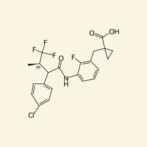 C[C@H](C(C(=O)Nc1cccc(CC2(C(=O)O)CC2)c1F)c1ccc(Cl)cc1)C(F)(F)F